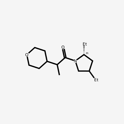 CCC1C[C@@H](CC)N(C(=O)C(C)C2CCOCC2)C1